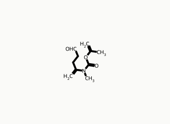 C=C(C)OC(=O)N(C)C(=C)CCC=O